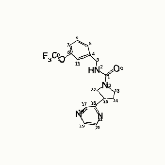 O=C(NCc1cccc(OC(F)(F)F)c1)N1CCC(c2cnccn2)C1